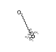 CC(C)c1cccc(C(C)C)c1NC(=O)CC(=O)CCCCCCCCCCCOC1CCCCO1